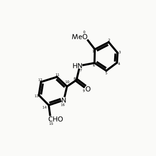 COc1ccccc1NC(=O)c1cccc(C=O)n1